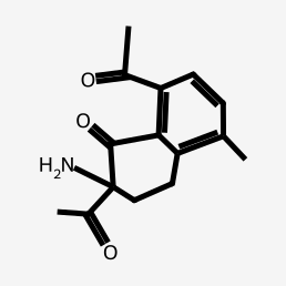 CC(=O)c1ccc(C)c2c1C(=O)C(N)(C(C)=O)CC2